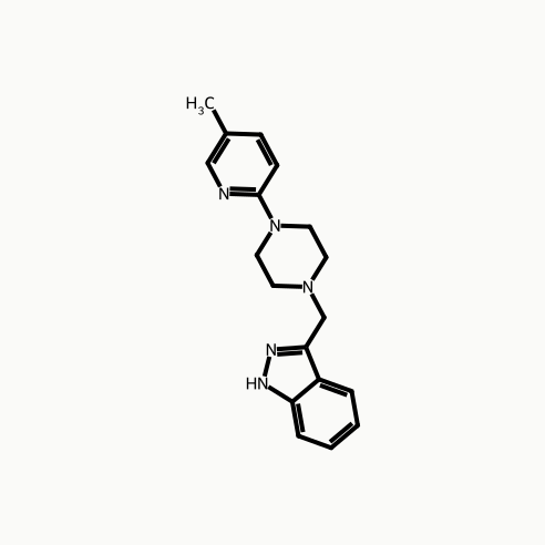 Cc1ccc(N2CCN(Cc3n[nH]c4ccccc34)CC2)nc1